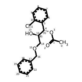 CC(=O)O[C@@H](c1ccccc1Cl)[C@H](O)COCc1ccccc1